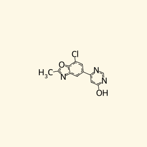 Cc1nc2cc(-c3cc(O)ncn3)cc(Cl)c2o1